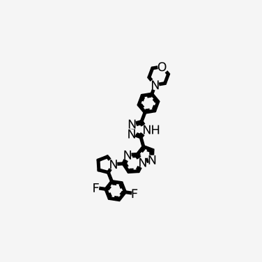 Fc1ccc(F)c(C2CCCN2c2ccn3ncc(-c4nnc(-c5ccc(N6CCOCC6)cc5)[nH]4)c3n2)c1